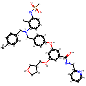 Cc1c(NS(C)(=O)=O)cccc1N(Cc1ccc(C#N)cc1)Cc1ccc(Oc2cc(OCC3CCOC3)cc(C(=O)NCc3ccccn3)c2)cc1